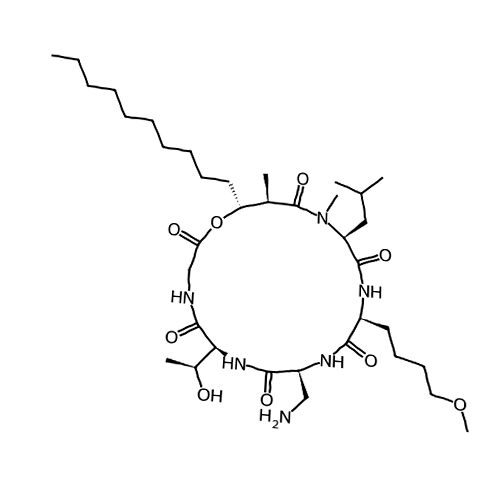 CCCCCCCCCC[C@H]1OC(=O)CNC(=O)[C@H]([C@H](C)O)NC(=O)[C@H](CN)NC(=O)[C@H](CCCCOC)NC(=O)[C@H](CC(C)C)N(C)C(=O)[C@@H]1C